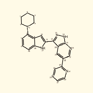 c1cc(N2CCCCC2)c2cc(-c3n[nH]c4ncc(-c5cnccn5)cc34)[nH]c2c1